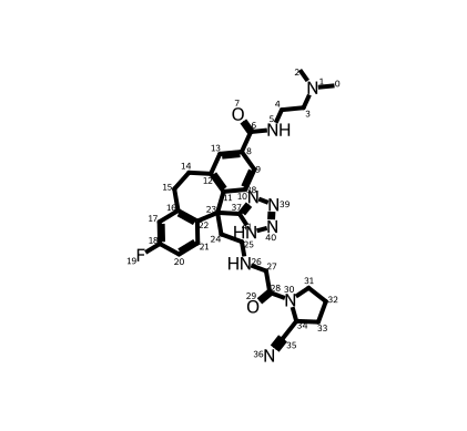 CN(C)CCNC(=O)c1ccc2c(c1)CCc1cc(F)ccc1C2(CCNCC(=O)N1CCCC1C#N)c1nnn[nH]1